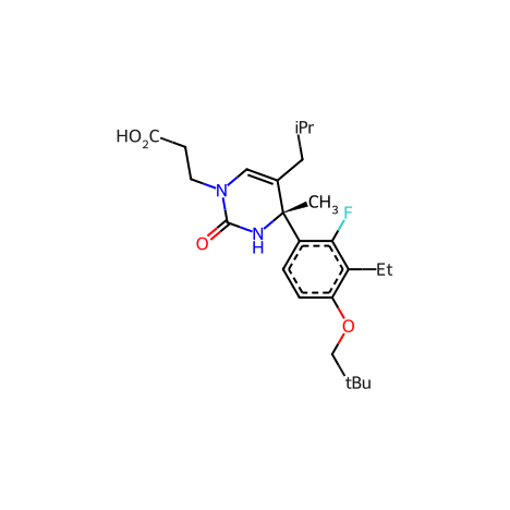 CCc1c(OCC(C)(C)C)ccc([C@]2(C)NC(=O)N(CCC(=O)O)C=C2CC(C)C)c1F